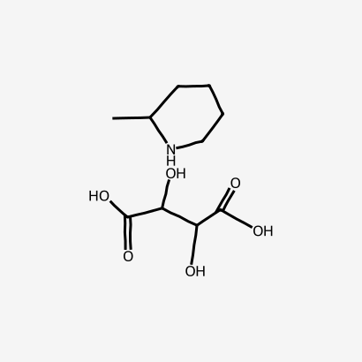 CC1CCCCN1.O=C(O)C(O)C(O)C(=O)O